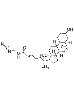 C[C@H](CC/C=C/C(=O)NCN=[N+]=[N-])[C@H]1CC[C@H]2[C@@H]3CC[C@@H]4C[C@H](O)CC[C@]4(C)[C@H]3CC[C@]12C